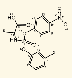 Cc1cccc(OP(=O)(NC(C)C(=O)O)Oc2ccc([N+](=O)[O-])cc2)c1